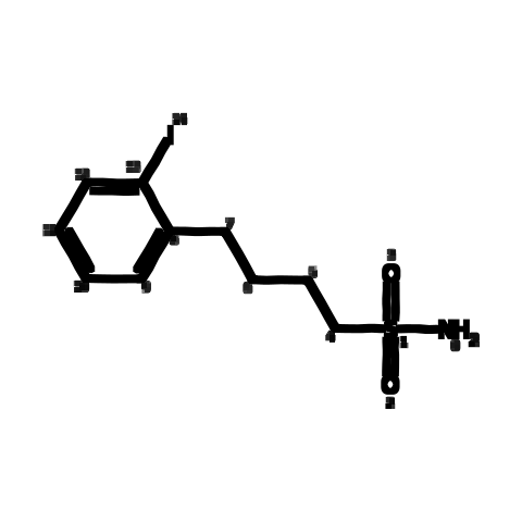 NS(=O)(=O)CCCCc1ccccc1I